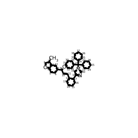 Cc1coc2ccc(C(=O)C=Cc3ccccc3-c3cn(C(c4ccccc4)(c4ccccc4)c4ccccc4)cn3)cc12